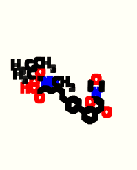 CC(CCc1ccc(-c2cccc3c(=O)cc(N4CCOCC4)oc23)cc1)CC(NC(=O)OC(C)(C)C)C(=O)O